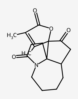 CC1=C(C)C2(OC1=O)C(=O)CC1CCCCN3C(=O)CCC132